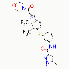 Cc1cc(C(=O)Nc2cccc(Sc3ccc(/C=C/C(=O)N4CCOCC4)c(C(F)(F)F)c3C(F)(F)F)c2)nn1C